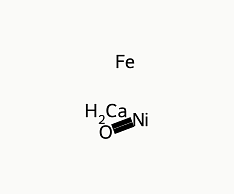 [CaH2].[Fe].[O]=[Ni]